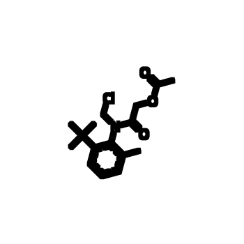 CC(=O)OCC(=O)N(CCl)c1c(C)cccc1C(C)(C)C